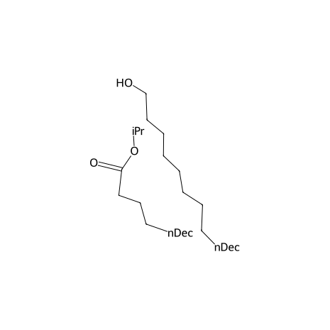 CCCCCCCCCCCCCC(=O)OC(C)C.CCCCCCCCCCCCCCCCCCO